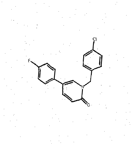 O=c1ccc(-c2ccc(F)cc2)cn1Cc1ccc(Cl)cc1